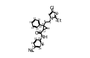 CCc1nc(Cl)cn1CCC1(c2ccccc2)CC1C(=O)Nc1ccc(C#N)cn1